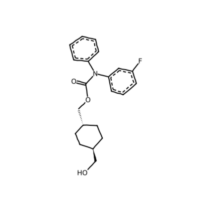 O=C(OC[C@H]1CC[C@H](CO)CC1)N(c1ccccc1)c1cccc(F)c1